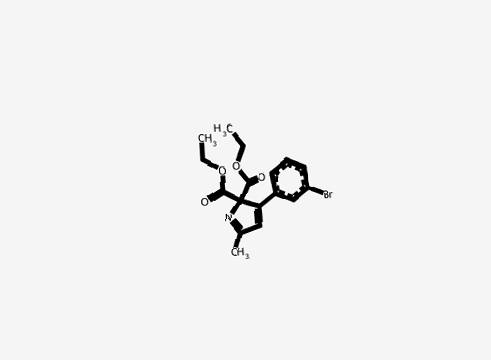 CCOC(=O)C1(C(=O)OCC)N=C(C)C=C1c1cccc(Br)c1